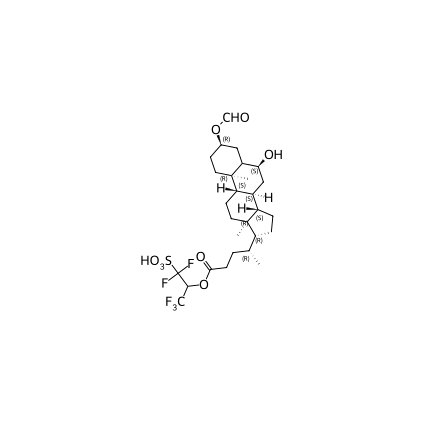 C[C@H](CCC(=O)OC(C(F)(F)F)C(F)(F)S(=O)(=O)O)[C@H]1CC[C@H]2[C@@H]3C[C@H](O)C4C[C@H](OC=O)CC[C@]4(C)[C@H]3CC[C@]12C